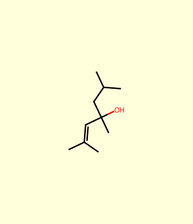 CC(C)=CC(C)(O)CC(C)C